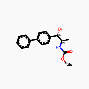 C[C@@H](NC(=O)OC(C)(C)C)[C@@H](O)c1ccc(-c2ccccc2)cc1